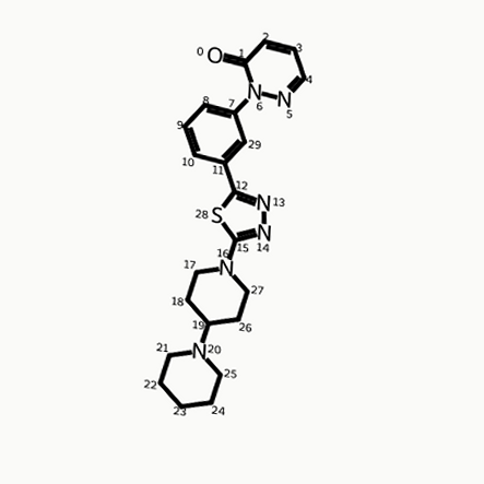 O=c1cccnn1-c1cccc(-c2nnc(N3CCC(N4CCCCC4)CC3)s2)c1